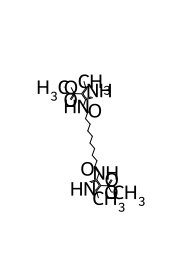 COC(=O)c1c(NC(=O)CCCCCCCCC(=O)Nc2c[nH]c(C)c2C(=O)OC)c[nH]c1C